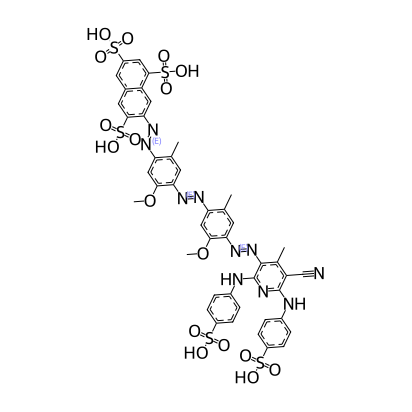 COc1cc(/N=N/c2cc3c(S(=O)(=O)O)cc(S(=O)(=O)O)cc3cc2S(=O)(=O)O)c(C)cc1/N=N/c1cc(OC)c(/N=N/c2c(Nc3ccc(S(=O)(=O)O)cc3)nc(Nc3ccc(S(=O)(=O)O)cc3)c(C#N)c2C)cc1C